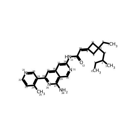 CCC(C)CC1(CC)CC(=CC(=O)Nc2cc3cc(-c4cnccc4C)nc(N)c3cn2)C1